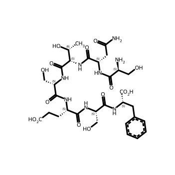 C[C@@H](O)[C@H](NC(=O)[C@H](CC(N)=O)NC(=O)[C@@H](N)CO)C(=O)N[C@@H](CO)C(=O)N[C@@H](CCC(=O)O)C(=O)N[C@@H](CO)C(=O)N[C@@H](Cc1ccccc1)C(=O)O